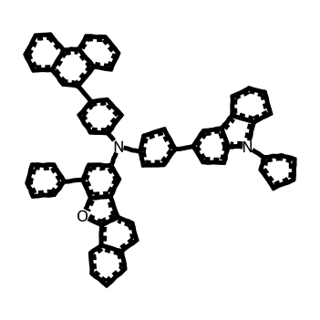 c1ccc(-c2cc(N(c3ccc(-c4ccc5c(c4)c4ccccc4n5-c4ccccc4)cc3)c3ccc(-c4cc5ccccc5c5ccccc45)cc3)cc3c2oc2c4ccccc4ccc32)cc1